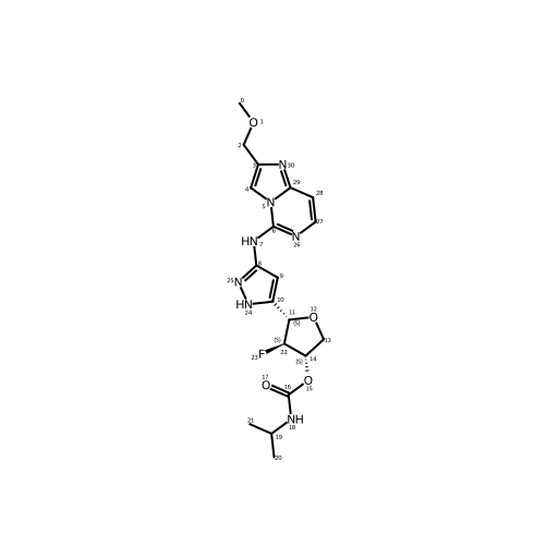 COCc1cn2c(Nc3cc([C@@H]4OC[C@H](OC(=O)NC(C)C)[C@H]4F)[nH]n3)nccc2n1